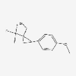 COc1ccc(C2CC2(CBr)C(F)(F)F)cc1